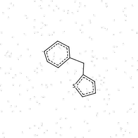 [c]1ccc(Cc2cccs2)cc1